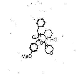 COc1ccc(S(=O)(=O)N(Cc2ccccc2)C2CCCCN2C(=O)N2CCOCC2)cc1.Cl